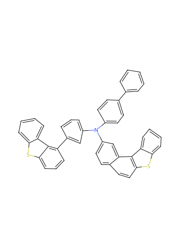 c1ccc(-c2ccc(N(c3cccc(-c4cccc5sc6ccccc6c45)c3)c3ccc4ccc5sc6ccccc6c5c4c3)cc2)cc1